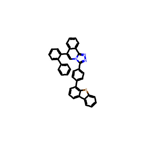 c1ccc(-c2ccccc2-c2cn3c(-c4ccc(-c5cccc6c5sc5ccccc56)cc4)nnc3c3ccccc23)cc1